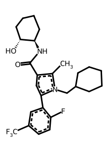 Cc1c(C(=O)N[C@@H]2CCCC[C@H]2O)cc(-c2cc(C(F)(F)F)ccc2F)n1CC1CCCCC1